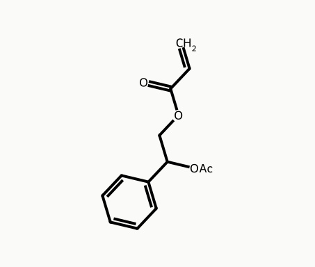 C=CC(=O)OCC(OC(C)=O)c1ccccc1